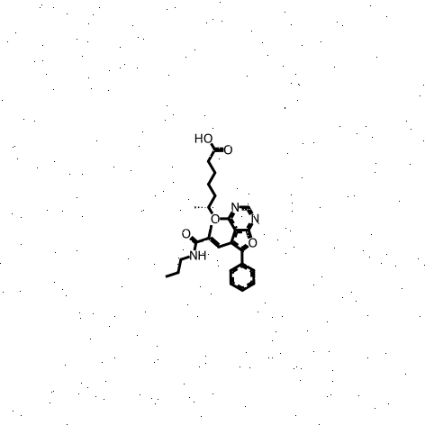 CCCNC(=O)/C(C)=C/c1c(-c2ccccc2)oc2ncnc(O[C@H](C)CCCCC(=O)O)c12